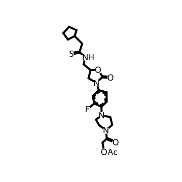 CC(=O)OCC(=O)N1CCN(c2ccc(N3CC(CNC(=S)CC4CCCC4)OC3=O)cc2F)CC1